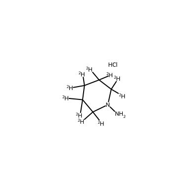 Cl.[2H]C1([2H])N(N)C([2H])([2H])C([2H])([2H])C([2H])([2H])C1([2H])[2H]